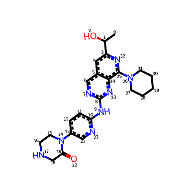 CC(O)c1cc2cnc(Nc3ccc(N4CCNCC4=O)cn3)nc2c(N2CCCCC2)n1